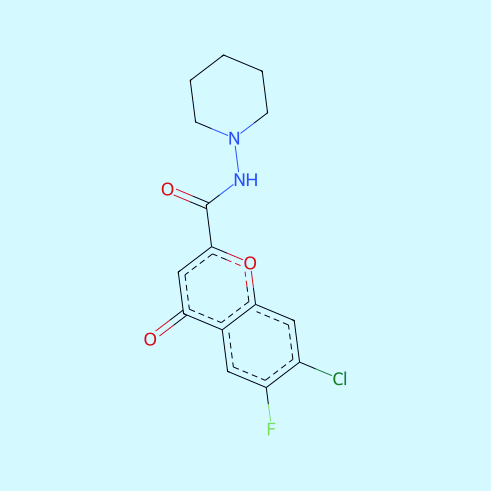 O=C(NN1CCCCC1)c1cc(=O)c2cc(F)c(Cl)cc2o1